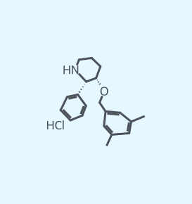 Cc1cc(C)cc(CO[C@H]2CCCN[C@H]2c2ccccc2)c1.Cl